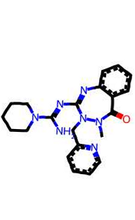 CN1C(=O)c2ccccc2N=C(/N=C(\N)N2CCCCC2)N1Cc1ccccn1